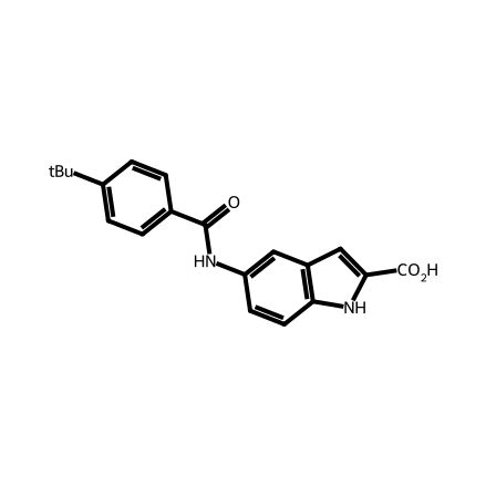 CC(C)(C)c1ccc(C(=O)Nc2ccc3[nH]c(C(=O)O)cc3c2)cc1